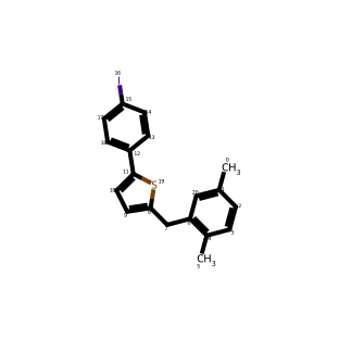 Cc1ccc(C)c(Cc2ccc(-c3ccc(I)cc3)s2)c1